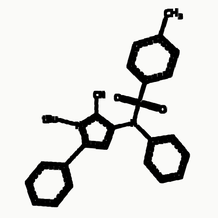 Cc1ccc(S(=O)(=O)N(c2ccccc2)c2cc(-c3ccccc3)n(C(C)(C)C)c2C#N)cc1